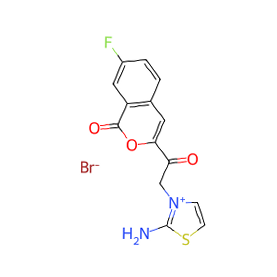 Nc1scc[n+]1CC(=O)c1cc2ccc(F)cc2c(=O)o1.[Br-]